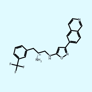 N[C@@H](CNc1cc(-c2ccc3cnccc3c2)no1)Cc1cccc(C(F)(F)F)c1